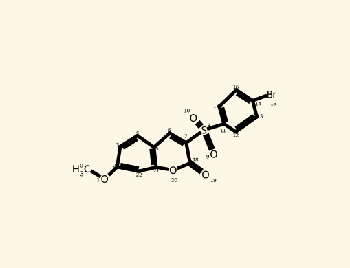 COc1ccc2cc(S(=O)(=O)c3ccc(Br)cc3)c(=O)oc2c1